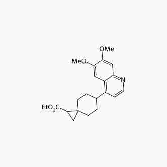 CCOC(=O)C1CC12CCC(c1ccnc3cc(OC)c(OC)cc13)CC2